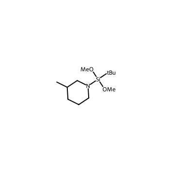 CO[Si](OC)(N1CCCC(C)C1)C(C)(C)C